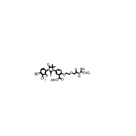 COC(=O)c1cc(N2C(=S)N(c3ccc(C#N)c(C(F)(F)F)c3F)C(=O)C2(C)C)cnc1OCCOCC(=O)NC(C=O)C(C)(C)C